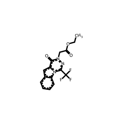 CCOC(=O)Cn1nc(C(F)(F)F)n2c(cc3ccccc32)c1=O